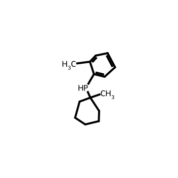 Cc1ccccc1PC1(C)CCCCC1